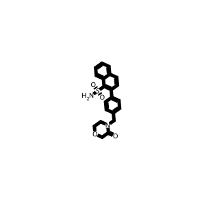 NS(=O)(=O)c1c(-c2ccc(CN3CCOCC3=O)cc2)ccc2ccccc12